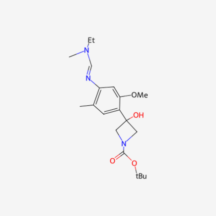 CCN(C)C=Nc1cc(OC)c(C2(O)CN(C(=O)OC(C)(C)C)C2)cc1C